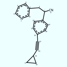 N#CC(Cc1cccnc1)c1ccc(C#CC2CC2)cc1